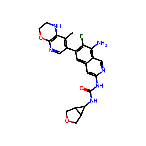 Cc1c(-c2cc3cc(NC(=O)NC4C5COCC54)ncc3c(N)c2F)cnc2c1NCCO2